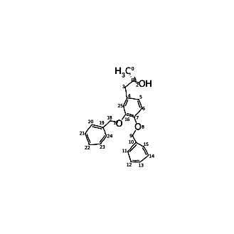 C[C@H](O)Cc1ccc(OCc2ccccc2)c(OCc2ccccc2)c1